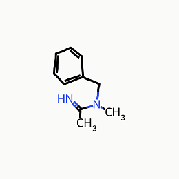 CC(=N)N(C)Cc1ccccc1